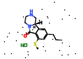 CCCc1cc(SC)c2c(c1)[C@H]1CNCCN1C2=O.Cl